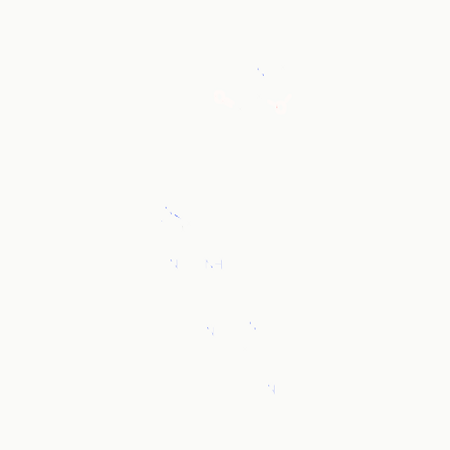 N#Cc1cnc(-c2cnc([C@@H](N)CCCCCC(=O)c3ncco3)[nH]2)cn1